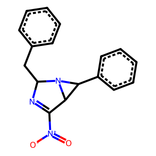 O=[N+]([O-])C1=NC(Cc2ccccc2)N2C1C2c1ccccc1